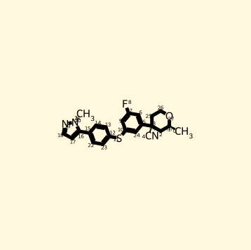 C[C@H]1C[C@@](C#N)(c2cc(F)cc(Sc3ccc(-c4ccnn4C)cc3)c2)CCO1